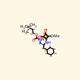 COc1c(N[C@H](CNC(=O)OCC[Si](C)(C)C)CC2CCCCC2)c(=O)c1=O